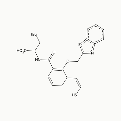 CC(C)(C)CC(NC(=O)C1=C(OCc2nc3ccccc3s2)C(/C=C\S)CC=C1)C(=O)O